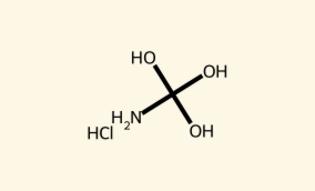 Cl.NC(O)(O)O